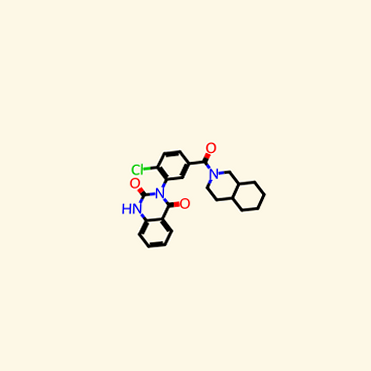 O=C(c1ccc(Cl)c(-n2c(=O)[nH]c3ccccc3c2=O)c1)N1CCC2CCCCC2C1